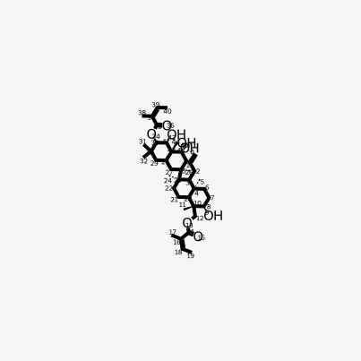 C=CCC1[C@@]2(C)CC[C@H](O)[C@](C)(COC(=O)/C(C)=C\C)C2CC[C@@]1(C)[C@@]1(C)CC2CC(C)(C)[C@@H](OC(=O)/C(C)=C\C)[C@H](O)[C@]2(CO)[C@H](O)C1